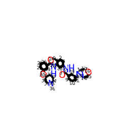 Cc1ccc(NC(=O)c2cccc(N3CCOCC3)c2)cc1NC(=O)c1cccc(OC2CCCN(C)CC2)c1